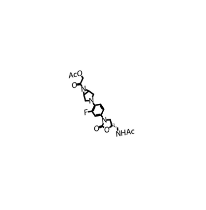 CC(=O)NC[C@H]1CN(c2ccc(N3CC4C(C3)N4C(=O)COC(C)=O)c(F)c2)C(=O)O1